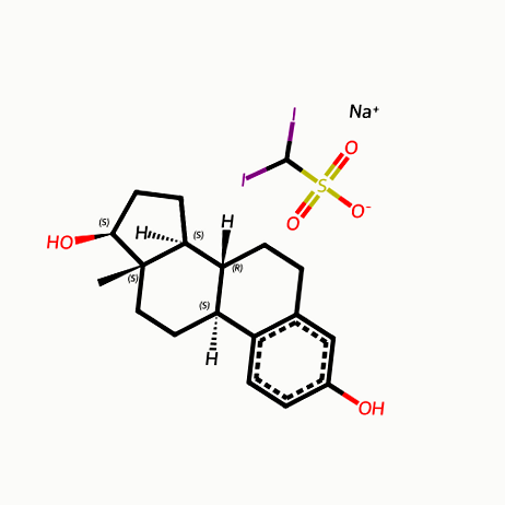 C[C@]12CC[C@@H]3c4ccc(O)cc4CC[C@H]3[C@@H]1CC[C@@H]2O.O=S(=O)([O-])C(I)I.[Na+]